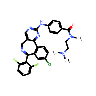 CN(C)CCN(C)C(=O)c1ccc(Nc2ncc3c(n2)-c2ccc(Cl)cc2C(c2c(F)cccc2F)=NC3)cc1